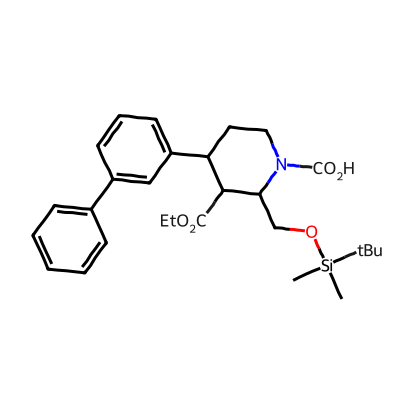 CCOC(=O)C1C(c2cccc(-c3ccccc3)c2)CCN(C(=O)O)C1CO[Si](C)(C)C(C)(C)C